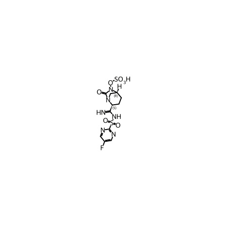 N=C(NS(=O)(=O)c1ncc(F)cn1)[C@@H]1CC[C@@H]2CN1C(=O)N2OS(=O)(=O)O